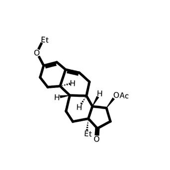 CCOC1=CC2=CC[C@@H]3[C@H](CC[C@]4(CC)C(=O)C[C@H](OC(C)=O)[C@@H]34)[C@H]2CC1